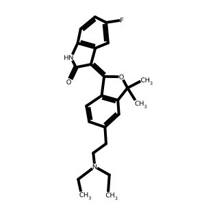 CCN(CC)CCc1ccc2c(c1)C(C)(C)OC2=C1C(=O)Nc2ccc(F)cc21